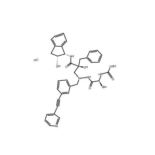 COC(=O)N[C@H](C(=O)NN(Cc1cccc(C#Cc2cccnc2)c1)C[C@@](O)(Cc1ccccc1)C(=O)N[C@H]1c2ccccc2C[C@H]1O)C(C)(C)C.Cl